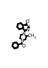 CC1CN(C(=O)c2ccccc2)CCN1c1nnc(Cl)c2ccccc12